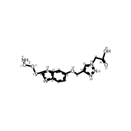 NOOSc1nc2ccc(OCc3cn(CC(=O)O)nn3)cc2s1